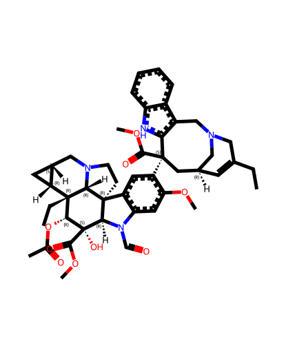 CCC1=C[C@@H]2CN(C1)Cc1c([nH]c3ccccc13)[C@@](C(=O)OC)(c1cc3c(cc1OC)N(C=O)[C@H]1[C@@](O)(C(=O)OC)[C@H](OC(C)=O)[C@]4(CC)[C@@H]5C[C@@H]5CN5CC[C@]31[C@@H]54)C2